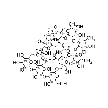 COCC1OC(OC2C(O)[C@H](OC3[C@H](O)C(CO)OC(OCC4(CO)CC(O)[C@H](NC(C)=O)C(OC5C(O)[C@@H](O)C(C)O[C@H]5OC5C(O)[C@@H](O)C(C)O[C@H]5OC5C(O)[C@@H](O)C(C)O[C@H]5OC5C(O)[C@@H](O)C(C)O[C@H]5OCC5OC(OP(=O)(O)OC)[C@@H](O)C(O)[C@H]5O)O4)[C@H]3O)OC(C)[C@@H]2O)[C@@H](O)C(O)[C@H]1O